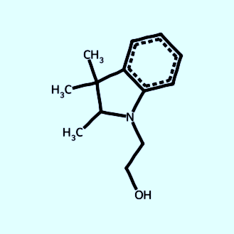 CC1N(CCO)c2ccccc2C1(C)C